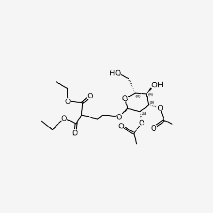 CCOC(=O)C(CCOC1O[C@H](CO)[C@@H](O)[C@H](OC(C)=O)[C@@H]1OC(C)=O)C(=O)OCC